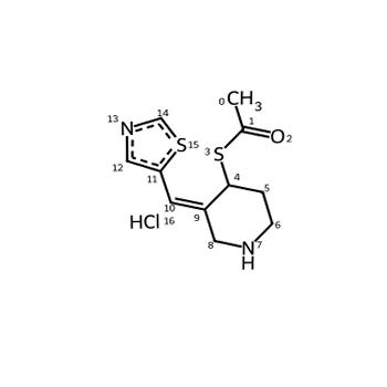 CC(=O)SC1CCNCC1=Cc1cncs1.Cl